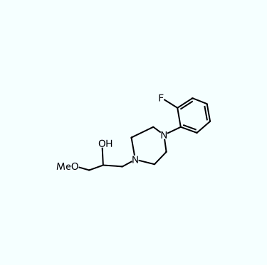 COCC(O)CN1CCN(c2ccccc2F)CC1